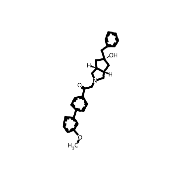 COc1cccc(-c2ccc(C(=O)CN3C[C@@H]4C[C@@](O)(Cc5ccccc5)C[C@@H]4C3)cc2)c1